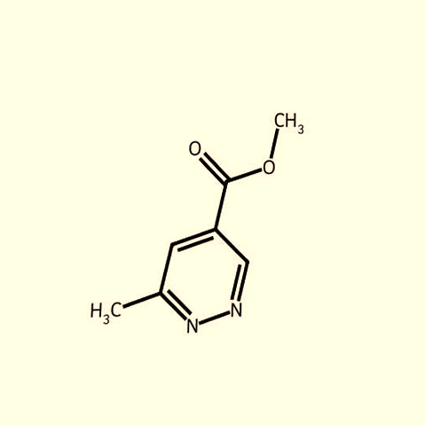 COC(=O)c1cnnc(C)c1